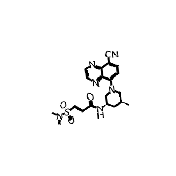 C[C@H]1C[C@@H](NC(=O)CCS(=O)(=O)N(C)C)CN(c2ccc(C#N)c3nccnc23)C1